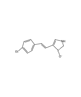 CCc1ccc(C=CC2=CNC[S+]2[O-])cc1